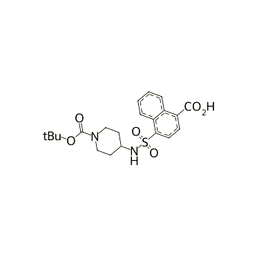 CC(C)(C)OC(=O)N1CCC(NS(=O)(=O)c2ccc(C(=O)O)c3ccccc23)CC1